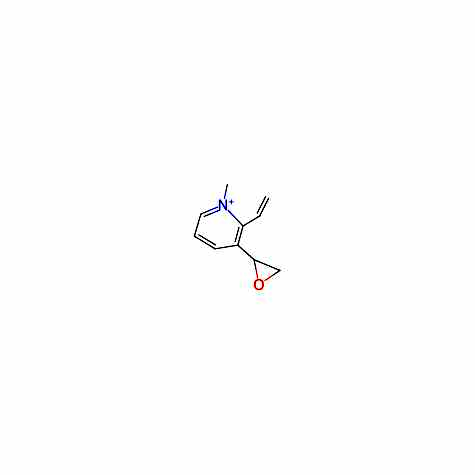 C=Cc1c(C2CO2)ccc[n+]1C